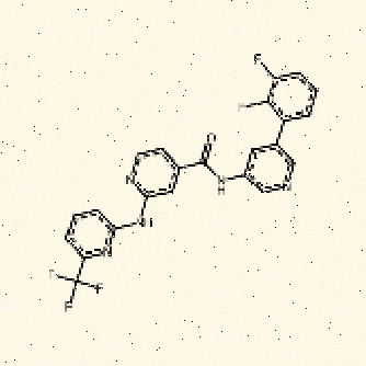 O=C(Nc1cncc(-c2cccc(F)c2F)c1)c1ccnc(Nc2cccc(C(F)(F)F)n2)c1